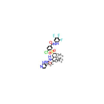 CCC(C[C@H](CC)S(=O)(=O)c1cc(C(=O)Nc2cc(F)c(F)c(F)c2)ccc1Cl)C(NC(=O)Nc1cccnc1)C(C)C